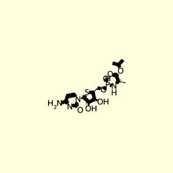 CC(C)OC(=O)[C@H](C)N[PH](=O)OC[C@H]1S[C@@H](n2ccc(N)nc2=O)[C@@H](O)[C@@H]1O